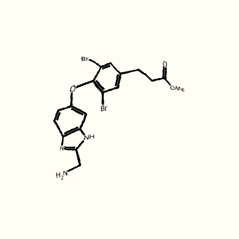 COC(=O)CCc1cc(Br)c(Oc2ccc3nc(CN)[nH]c3c2)c(Br)c1